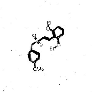 CCOc1cccc(OCC)c1C=CS(=O)(=O)Cc1ccc(OC)cc1